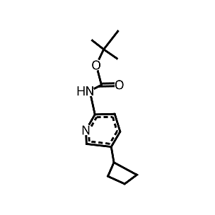 CC(C)(C)OC(=O)Nc1ccc(C2CCC2)cn1